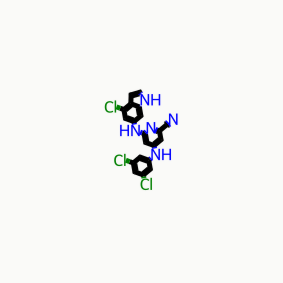 N#Cc1cc(Nc2cc(Cl)cc(Cl)c2)cc(Nc2cc(Cl)c3cc[nH]c3c2)n1